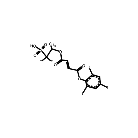 CC(OC(=O)/C=C/C(=O)Oc1c(I)cc(I)cc1I)C(F)(F)S(=O)(=O)O